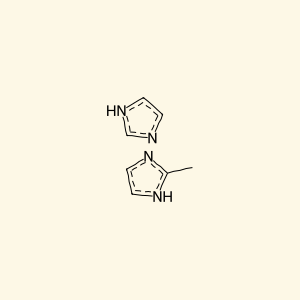 Cc1ncc[nH]1.c1c[nH]cn1